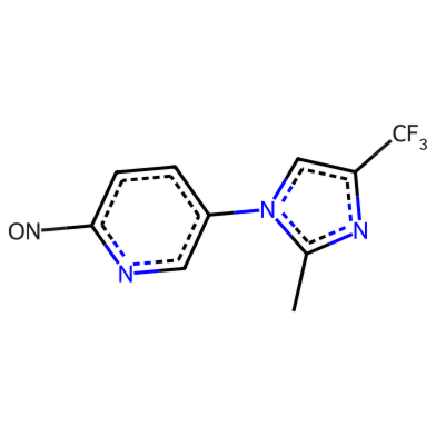 Cc1nc(C(F)(F)F)cn1-c1ccc(N=O)nc1